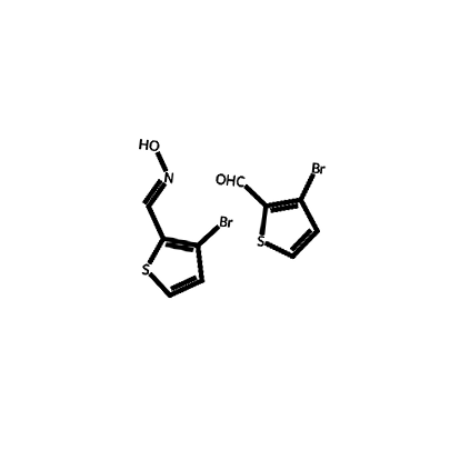 O/N=C/c1sccc1Br.O=Cc1sccc1Br